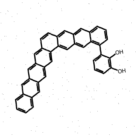 Oc1cccc(-c2cccc3cc4cc5ccc6cc7cc8cc9ccccc9cc8cc7cc6c5cc4cc23)c1O